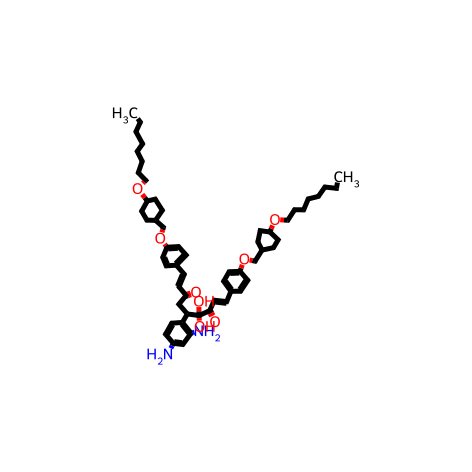 CCCCCCCCOC1CCC(COc2ccc(C=CC(=O)CC(c3ccc(N)cc3N)C(O)(O)C(=O)C=Cc3ccc(OCC4CCC(OCCCCCCCC)CC4)cc3)cc2)CC1